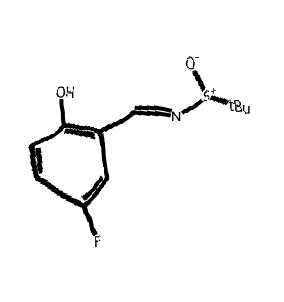 CC(C)(C)[S+]([O-])N=Cc1cc(F)ccc1O